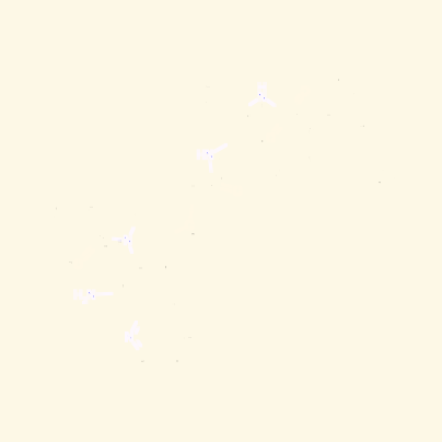 Cc1cc(C)c(S(=O)(=O)NC(CNC(=O)COC2CC(C(N)c3ccccn3)N(C(=O)CC(C)(C)C)C2)C(=O)O)c(C)c1